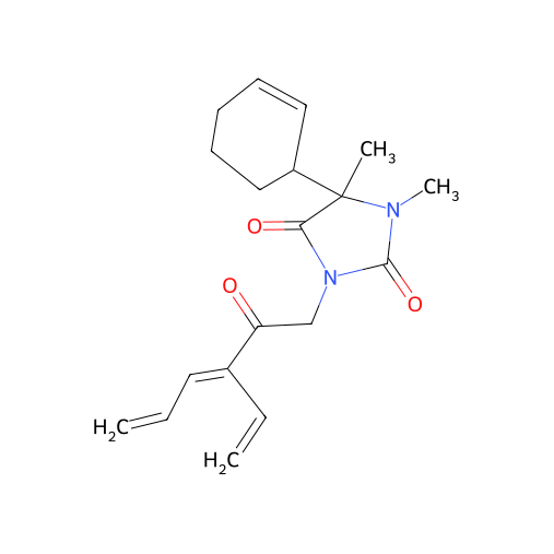 C=C/C=C(\C=C)C(=O)CN1C(=O)N(C)C(C)(C2C=CCCC2)C1=O